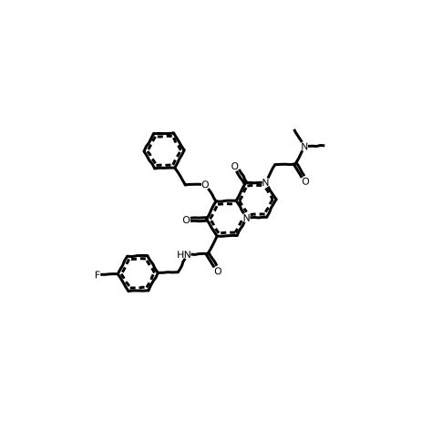 CN(C)C(=O)Cn1ccn2cc(C(=O)NCc3ccc(F)cc3)c(=O)c(OCc3ccccc3)c2c1=O